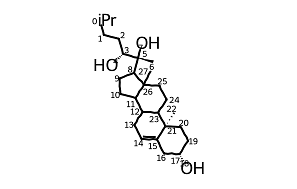 CC(C)CC[C@@H](O)[C@](C)(O)C1CCC2C3CC=C4C[C@@H](O)CC[C@]4(C)C3CCC21C